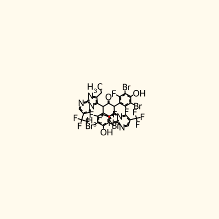 CCc1nc2ncc(C(F)(F)F)cn2c1C(C(=O)C(c1c(F)c(Br)c(O)c(Br)c1F)c1c(CC)nc2ncc(C(F)(F)F)cn12)c1c(F)c(Br)c(O)c(Br)c1F